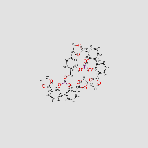 c1ccc(Op2oc3c(C4OCCO4)cccc3c3cccc(C4OCCO4)c3o2)c(COp2oc3c(C4OCCO4)cccc3c3cccc(C4OCCO4)c3o2)c1